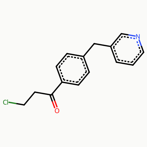 O=C(CCCl)c1ccc(Cc2cccnc2)cc1